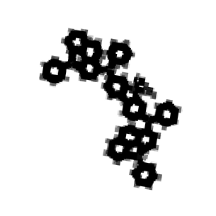 C[Si]1(C)c2cc(N(c3ccccc3)c3ccc4c5c3ccc3cccc(c35)n4-c3ccccc3)ccc2-c2ccc(N(c3ccccc3)c3ccc4c5c3ccc3cccc(c35)n4-c3ccccc3)cc21